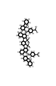 CC(C)c1ccc(N(c2cc3c(c4ccccc24)-c2ccc4c(c2C3(C)C)C(C)(C)c2cc(N(c3ccc(C(C)C)cc3)c3cccc5c3oc3ccccc35)c3ccccc3c2-4)c2cccc3c2oc2ccccc23)cc1